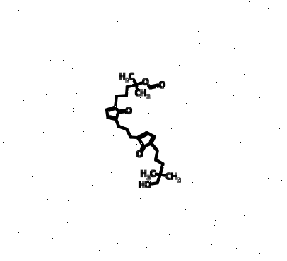 CC(C)(CO)CCCC1=CC=C(CCCC2=CC=C(CCCC(C)(C)OC=O)C2=O)C1=O